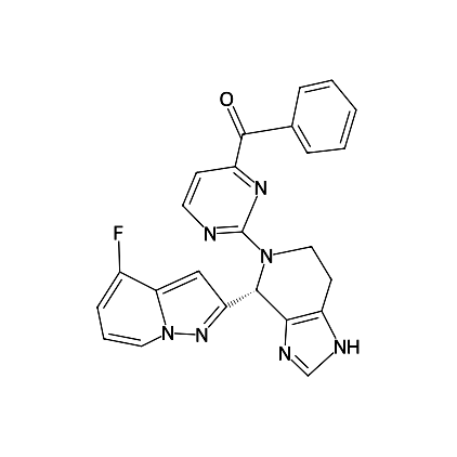 O=C(c1ccccc1)c1ccnc(N2CCc3[nH]cnc3[C@@H]2c2cc3c(F)cccn3n2)n1